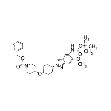 COc1cc2nn(C3CCC(OC4CCN(C(=O)OCc5ccccc5)CC4)CC3)cc2cc1NC(=O)OC(C)(C)C